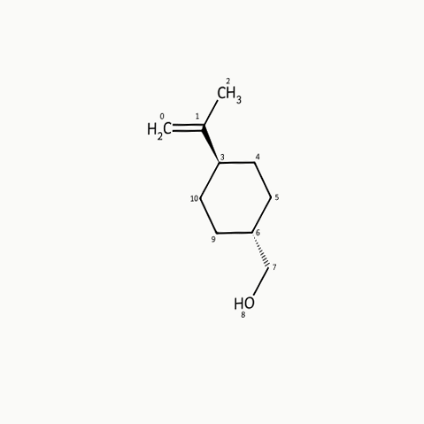 C=C(C)[C@H]1CC[C@H](CO)CC1